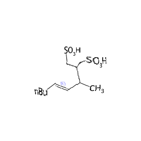 CCCC/C=C/C(C)C(CS(=O)(=O)O)S(=O)(=O)O